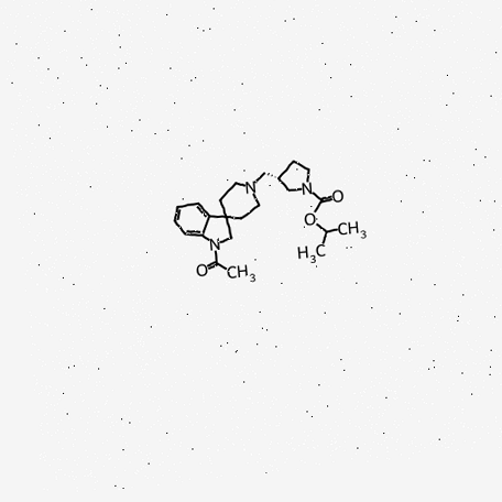 CC(=O)N1CC2(CCN(C[C@@H]3CCN(C(=O)OC(C)C)C3)CC2)c2ccccc21